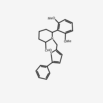 COc1cccc(OC)c1C1CCCC(C=O)N1Cc1ccc(-c2ccccc2)s1